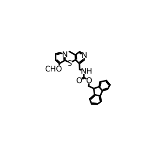 Cc1cncc(CNC(=O)OCC2c3ccccc3-c3ccccc32)c1Sc1ncccc1C=O